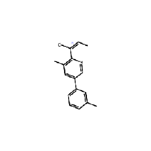 C/C=C(/Cl)c1ncc(-c2cccc(C)c2)cc1C